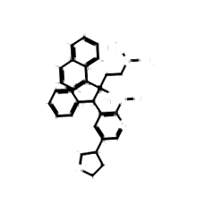 COc1ncc(C2CCNC2)cc1C(c1ccccc1)C(O)(CCN(C)C)c1cccc2ccccc12